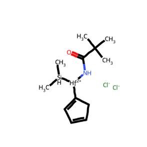 C[SiH](C)[Hf+2]([NH]C(=O)C(C)(C)C)[C]1=CC=CC1.[Cl-].[Cl-]